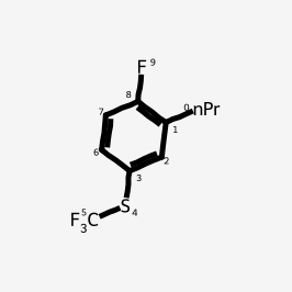 C[CH]Cc1cc(SC(F)(F)F)ccc1F